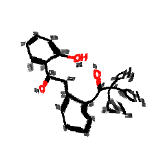 CC(C)(C)C(=O)c1ccccc1CC(=O)c1ccccc1O